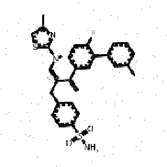 C=C(/C(=C\N(C)c1nc(C)cs1)Cc1ccc(S(N)(=O)=O)cc1)c1ccc(F)c(-c2cccc(C)c2)c1